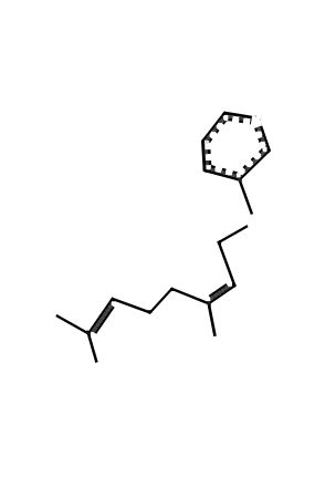 CC(C)=CCCC(C)=CCOc1cccnc1